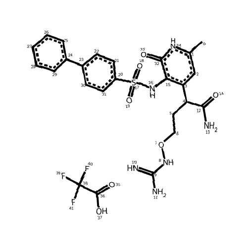 Cc1cc(C(CCONC(=N)N)C(N)=O)c(NS(=O)(=O)c2ccc(-c3ccccc3)cc2)c(=O)[nH]1.O=C(O)C(F)(F)F